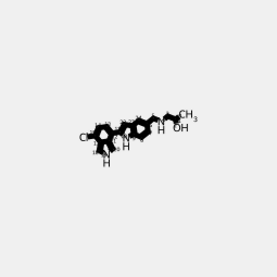 CC(O)CNCc1ccc2[nH]c(-c3ccc(Cl)c4c[nH]cc34)cc2c1